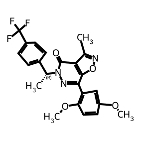 COc1ccc(OC)c(-c2nn([C@H](C)c3ccc(C(F)(F)F)cc3)c(=O)c3c(C)noc23)c1